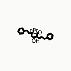 CCCC1(CCc2ccccc2)CC(O)=C(C=CCc2ccccc2)C(=O)O1